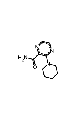 NC(=O)c1nccnc1N1CCCCC1